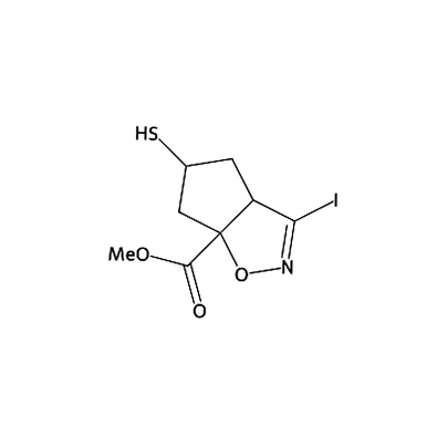 COC(=O)C12CC(S)CC1C(I)=NO2